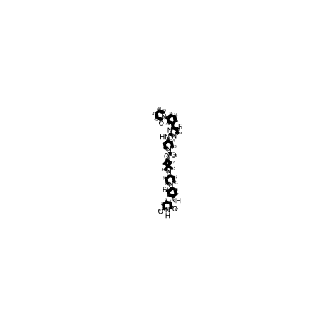 O=C1CCC(Nc2ccc(N3CCC(N4CC5(CC(OC(=O)N6CCC(Nc7ncc(F)c(-c8cccc(-n9ccccc9=O)c8)n7)CC6)C5)C4)CC3)c(F)c2)C(=O)N1